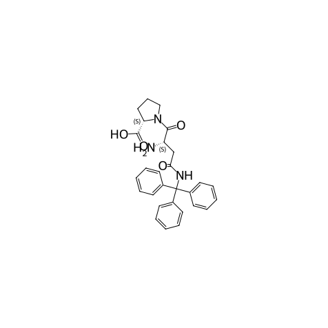 N[C@@H](CC(=O)NC(c1ccccc1)(c1ccccc1)c1ccccc1)C(=O)N1CCC[C@H]1C(=O)O